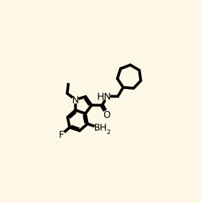 Bc1cc(F)cc2c1c(C(=O)NCC1CCCCCC1)cn2CC